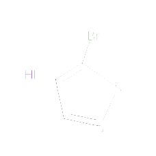 Brc1cccs1.I